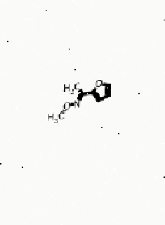 CON=C(C)c1ccco1